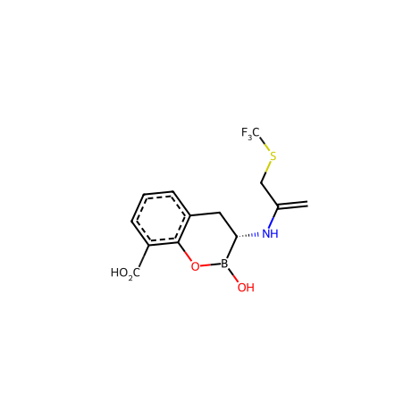 C=C(CSC(F)(F)F)N[C@H]1Cc2cccc(C(=O)O)c2OB1O